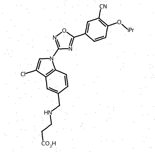 CC(C)Oc1ccc(-c2nc(-n3cc(Cl)c4cc(CNCCC(=O)O)ccc43)no2)cc1C#N